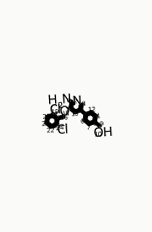 Nc1ncc(-c2ccc(CO)cc2)cc1OCc1c(Cl)cccc1Cl